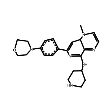 CN1C=CN=C2C(NC3CCNCC3)=NC(c3ccc(N4CCOCC4)cc3)=CC21